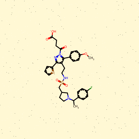 COc1ccc(-c2c(CCNS(=O)(=O)CC3CCN(C(C)c4ccc(F)cc4)C3)c(-c3cccs3)nn2C(=O)CCC(=O)O)cc1